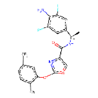 CCCc1ccc(C(F)(F)F)cc1Oc1nc(C(=O)N[C@H](C)c2cc(F)c(N)c(F)c2)co1